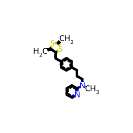 C=C1SC(=C)C(Cc2ccc(CCCN(C)c3ccccn3)cc2)S1